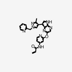 C=CC(=O)Nc1ccnc(Oc2cnc3[nH]cc(-c4cn(Cc5ccccn5)nc4C)c3n2)c1